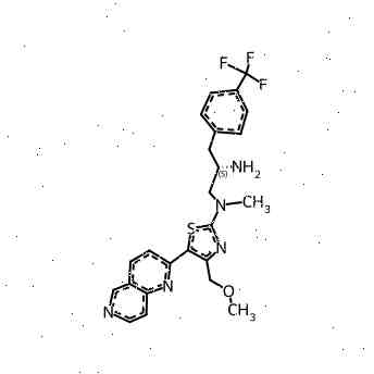 COCc1nc(N(C)C[C@@H](N)Cc2ccc(C(F)(F)F)cc2)sc1-c1ccc2cnccc2n1